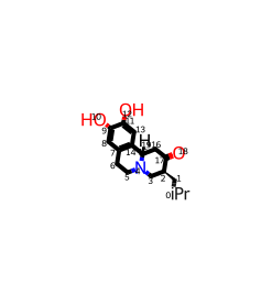 CC(C)C[C@H]1CN2CCc3cc(O)c(O)cc3[C@@H]2CC1=O